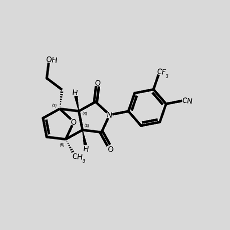 C[C@]12C=C[C@](CCO)(O1)[C@@H]1C(=O)N(c3ccc(C#N)c(C(F)(F)F)c3)C(=O)[C@@H]12